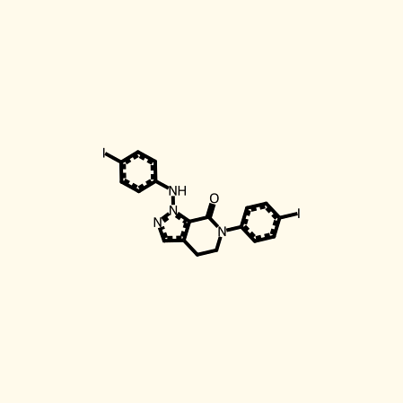 O=C1c2c(cnn2Nc2ccc(I)cc2)CCN1c1ccc(I)cc1